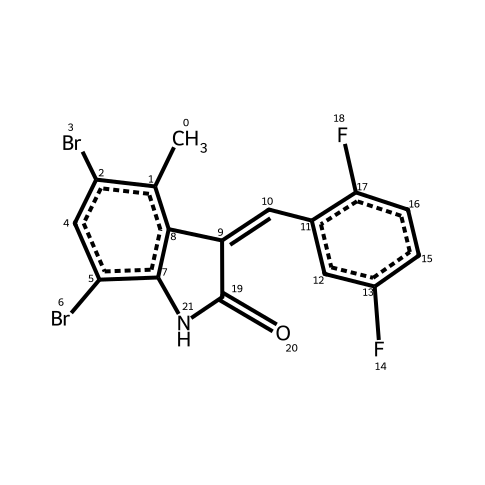 Cc1c(Br)cc(Br)c2c1C(=Cc1cc(F)ccc1F)C(=O)N2